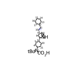 CC(C)(C)N(C(=O)O)c1ccc(-c2cc(/C=C/c3ccccc3)n[nH]2)cc1